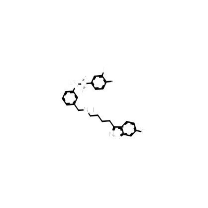 O=S(=O)(Nc1cccc(CNCCCCc2noc3cc(F)ccc23)c1)c1ccc(F)c(F)c1